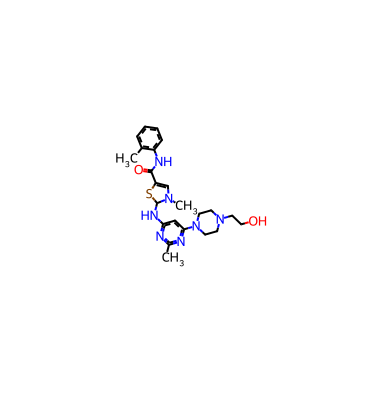 Cc1nc(NC2SC(C(=O)Nc3ccccc3C)=CN2C)cc(N2CCN(CCO)CC2)n1